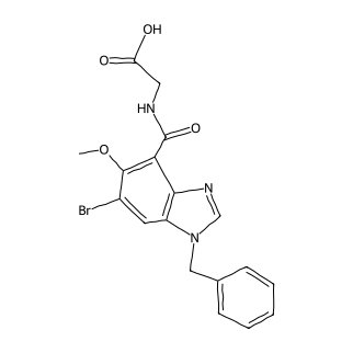 COc1c(Br)cc2c(ncn2Cc2ccccc2)c1C(=O)NCC(=O)O